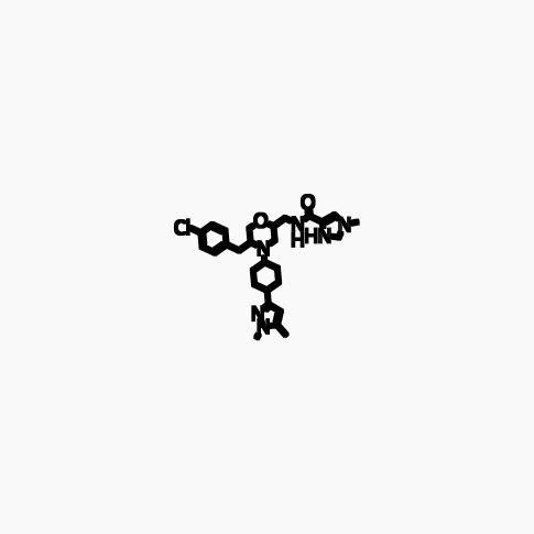 Cc1cc(C2CCC(N3CC(CNC(=O)C4=CN(C)CN4)OCC3Cc3ccc(Cl)cc3)CC2)nn1C